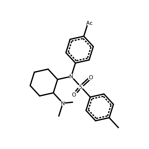 CC(=O)c1ccc(N(C2CCCCC2N(C)C)S(=O)(=O)c2ccc(C)cc2)cc1